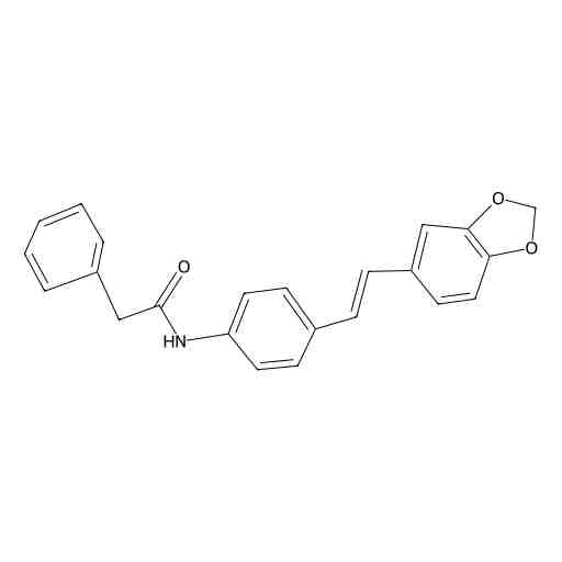 O=C(Cc1ccccc1)Nc1ccc(/C=C/c2ccc3c(c2)OCO3)cc1